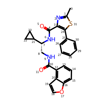 Cc1nc(C(=O)N[C@H](CNC(=O)c2cccc3occc23)C2CC2)c(-c2ccccc2)s1